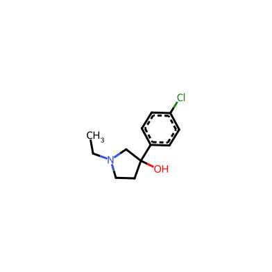 CCN1CCC(O)(c2ccc(Cl)cc2)C1